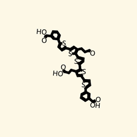 O=CCCc1cc(-c2ccc(-c3cccc(C(=O)O)c3)s2)sc1-c1ccc(-c2sc(-c3ccc(-c4cccc(C(=O)O)c4)s3)cc2CCC(=O)O)s1